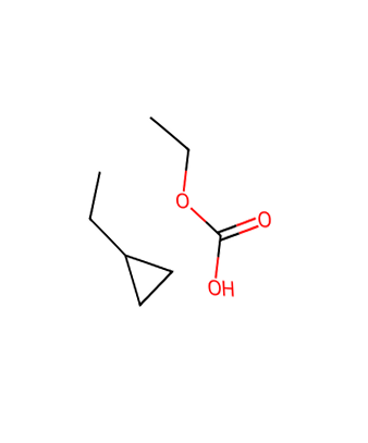 CCC1CC1.CCOC(=O)O